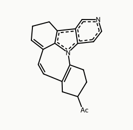 CC(=O)C1CCC2=C(C=CC3=CCCc4c3n2c2ccncc42)C1